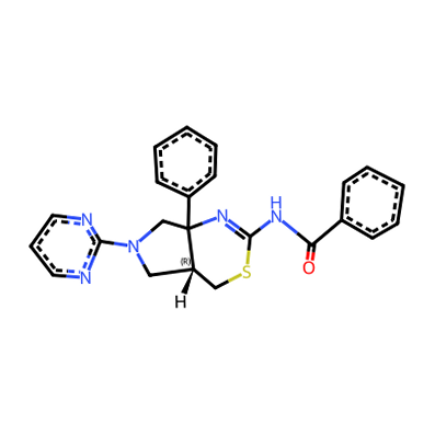 O=C(NC1=NC2(c3ccccc3)CN(c3ncccn3)C[C@H]2CS1)c1ccccc1